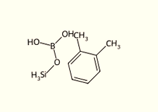 Cc1ccccc1C.OB(O)O[SiH3]